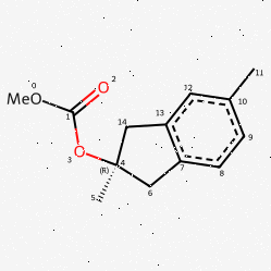 COC(=O)O[C@]1(C)Cc2ccc(C)cc2C1